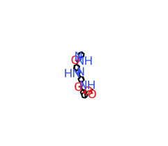 CC(=O)OC12CC3CC(C1)CC(C(=O)Nc1ccc(-c4nc5cc(C(=O)Nc6ccccn6)ccc5[nH]4)cc1)(C3)C2